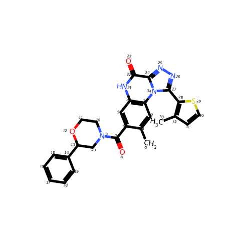 Cc1cc2c(cc1C(=O)N1CCOC(c3ccccc3)C1)[nH]c(=O)c1nnc(-c3sccc3C)n12